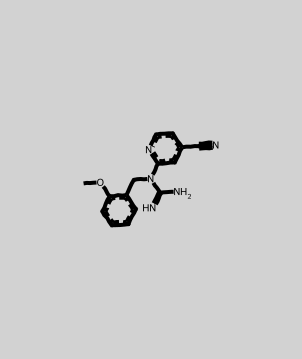 COc1ccccc1CN(C(=N)N)c1cc(C#N)ccn1